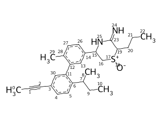 CC#Cc1ccc(C(C)CC)c(-c2cc(C3C[S+]([O-])C(CCC)C(=N)N3)ccc2C)c1